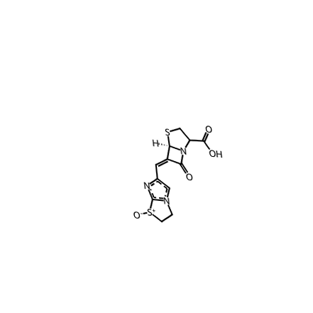 O=C(O)C1CS[C@@H]2C(=Cc3cn4c(n3)[S+]([O-])CC4)C(=O)N12